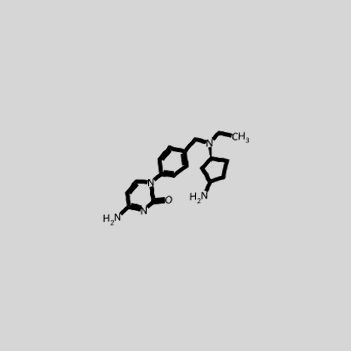 CCN(Cc1ccc(-n2ccc(N)nc2=O)cc1)[C@H]1CCC(N)C1